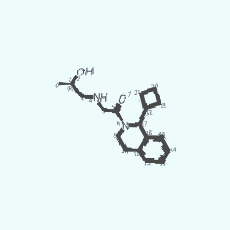 C[C@@H](O)CNCC(=O)N1CCc2ccccc2C1C1CCC1